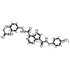 O=C1COc2ccc(CNC(=O)c3ncnc4c(C(=O)NCc5ccc(C(F)(F)F)cc5)c[nH]c34)cc2N1